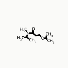 CC(C)OCCC(=O)N(C)C(C)C